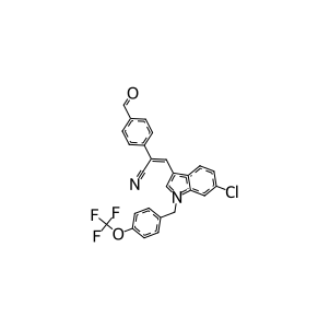 N#C/C(=C\c1cn(Cc2ccc(OC(F)(F)F)cc2)c2cc(Cl)ccc12)c1ccc(C=O)cc1